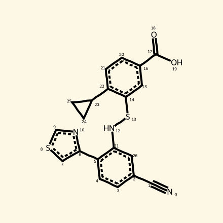 N#Cc1ccc(-c2cscn2)c(NSc2cc(C(=O)O)ccc2C2CC2)c1